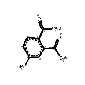 CCCc1ccc(C(=O)OCC(C)C)c(C(=O)OCC(C)C)c1